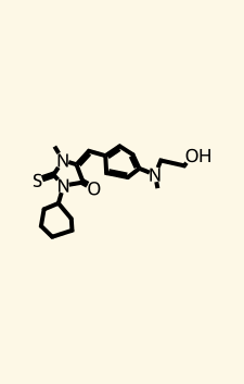 CN1C(=S)N(C2CCCCC2)C(=O)C1=Cc1ccc(N(C)CCO)cc1